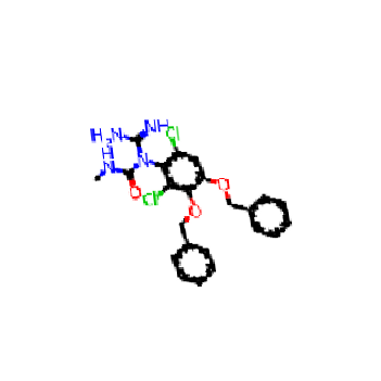 CNC(=O)N(C(=N)N)c1c(Cl)cc(OCc2ccccc2)c(OCc2ccccc2)c1Cl